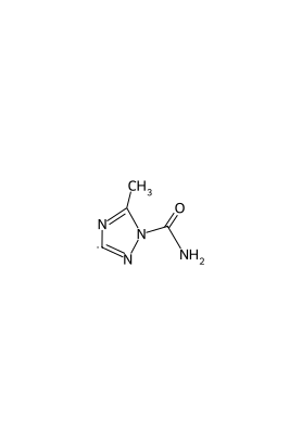 Cc1n[c]nn1C(N)=O